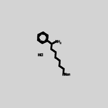 CCCCCCCCCCCCCCCC(N)c1ccccc1.Cl